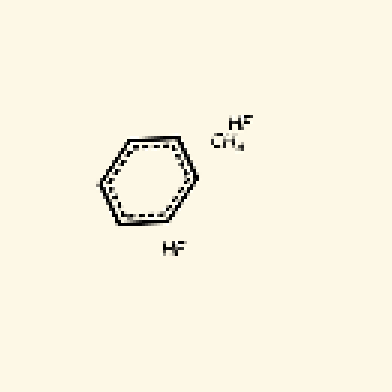 C.F.F.c1ccccc1